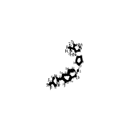 O=c1[nH]ncc(N[C@@H]2CC[C@H](Cn3ccc4cc(-c5ncc(C(F)(F)F)cn5)c(I)cc4c3=O)C2)c1C(F)(F)P